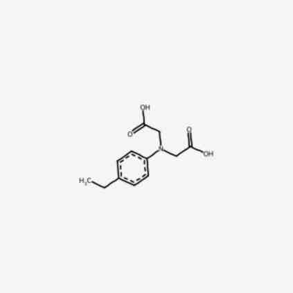 CCc1ccc(N(CC(=O)O)CC(=O)O)cc1